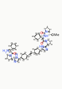 COC[C@H]1CCCN1C(=O)N[C@@H](C(=O)N1CCC[C@H]1c1ncc(-c2ccc(C#Cc3ccc(-c4cnc([C@@H]5CCCN5C(=O)[C@H](N)c5ccccc5)[nH]4)cc3)cc2)[nH]1)c1ccccc1